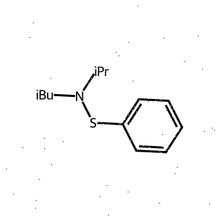 CCC(C)N(Sc1ccccc1)C(C)C